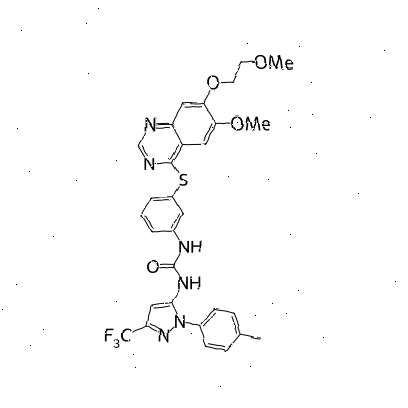 COCCOc1cc2ncnc(Sc3cccc(NC(=O)Nc4cc(C(F)(F)F)nn4-c4ccc(C)cc4)c3)c2cc1OC